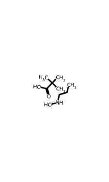 CC(C)(C)C(=O)O.CCCNO